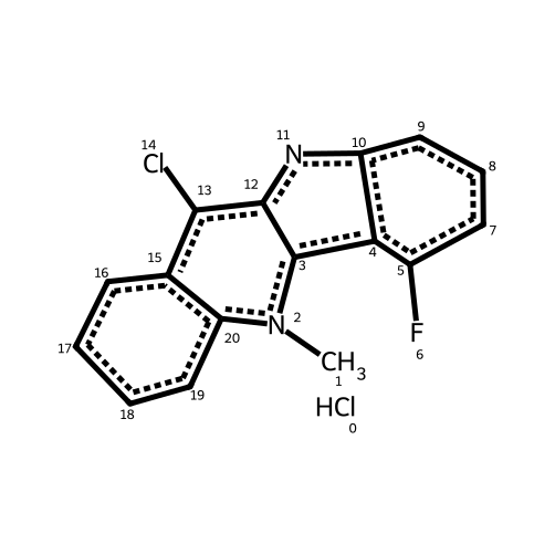 Cl.Cn1c2c3c(F)cccc3nc-2c(Cl)c2ccccc21